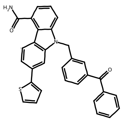 NC(=O)c1cccc2c1c1[c]cc(-c3cccs3)cc1n2Cc1cccc(C(=O)c2ccccc2)c1